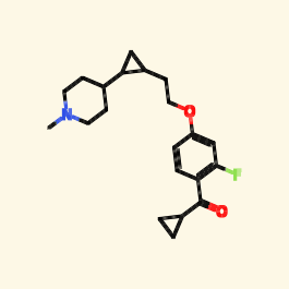 CN1CCC(C2CC2CCOc2ccc(C(=O)C3CC3)c(F)c2)CC1